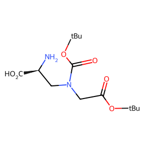 CC(C)(C)OC(=O)CN(C[C@H](N)C(=O)O)C(=O)OC(C)(C)C